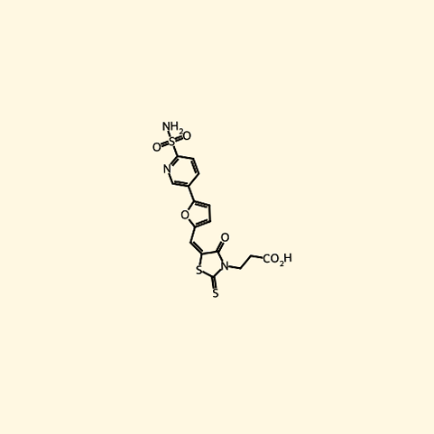 NS(=O)(=O)c1ccc(-c2ccc(/C=C3/SC(=S)N(CCC(=O)O)C3=O)o2)cn1